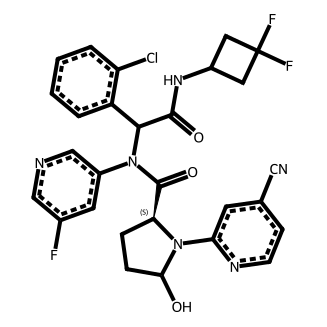 N#Cc1ccnc(N2C(O)CC[C@H]2C(=O)N(c2cncc(F)c2)C(C(=O)NC2CC(F)(F)C2)c2ccccc2Cl)c1